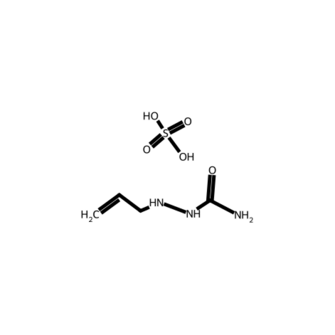 C=CCNNC(N)=O.O=S(=O)(O)O